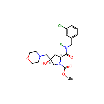 CC(C)(C)OC(=O)N1C[C@](O)(CN2CCOCC2)C[C@H]1C(=O)N(F)Cc1cccc(Cl)c1